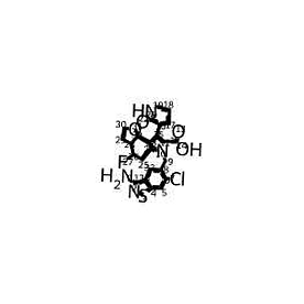 Nc1nsc2cc(Cl)c(Cn3c(C(=O)O)c(-c4ccc[nH]c4=O)c4c3=CC(F)C3C=COC=43)cc12